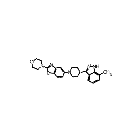 Cc1cccc2c(C3CCN(c4ccc5oc(N6CCOCC6)nc5c4)CC3)n[nH]c12